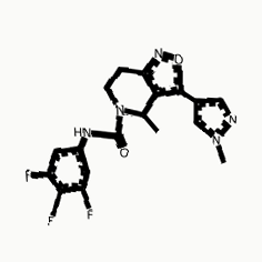 CC1c2c(noc2-c2cnn(C)c2)CCN1C(=O)Nc1cc(F)c(F)c(F)c1